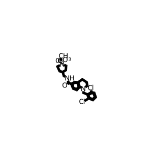 CS(=O)(=O)N1CCC(CNC(=O)c2ccc3c(c2)CCCN3Cc2c(Cl)cccc2Cl)CC1